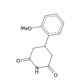 COc1ccccc1C1CC(=O)NC(=O)C1